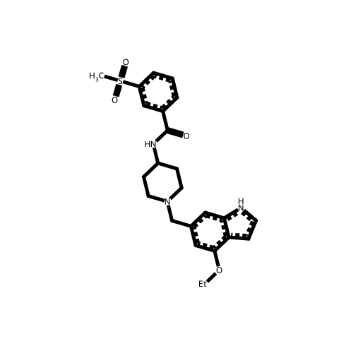 CCOc1cc(CN2CCC(NC(=O)c3cccc(S(C)(=O)=O)c3)CC2)cc2[nH]ccc12